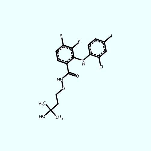 CC(C)(O)CCONC(=O)c1ccc(F)c(F)c1Nc1ccc(I)cc1Cl